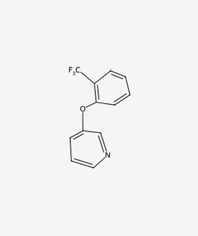 FC(F)(F)c1[c]cccc1Oc1cccnc1